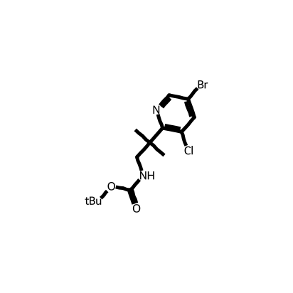 CC(C)(C)OC(=O)NCC(C)(C)c1ncc(Br)cc1Cl